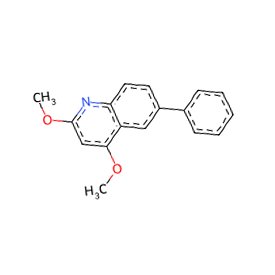 COc1cc(OC)c2cc(-c3ccccc3)ccc2n1